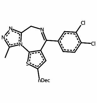 CCCCCCCCCCc1cc2c(s1)-n1c(C)nnc1CN=C2c1ccc(Cl)c(Cl)c1